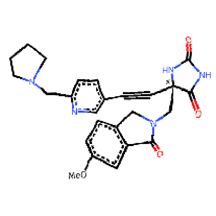 COc1ccc2c(c1)C(=O)N(C[C@@]1(C#Cc3ccc(CN4CCCC4)nc3)NC(=O)NC1=O)C2